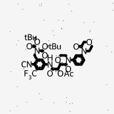 [C-]#[N+]c1c(CN(C(=O)OC(C)(C)C)C(=O)OC(C)(C)C)cc(NC(=O)[C@H](OC(C)=O)[C@H]2OCCN(c3cccc(N4CCOCC4=O)c3)C2=O)cc1C(F)(F)F